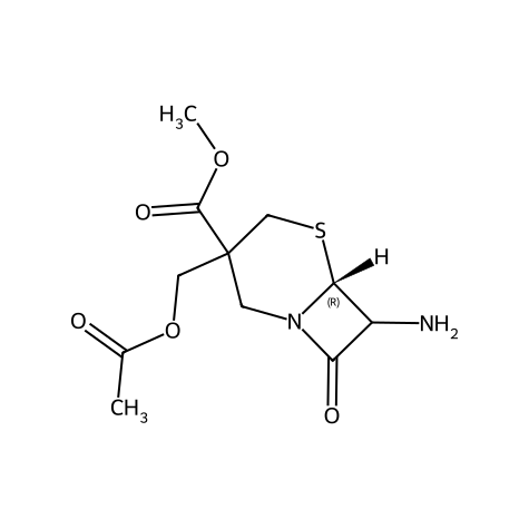 COC(=O)C1(COC(C)=O)CS[C@@H]2C(N)C(=O)N2C1